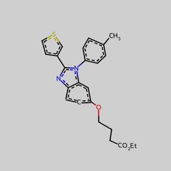 CCOC(=O)CCCOc1ccc2nc(-c3ccsc3)n(-c3ccc(C)cc3)c2c1